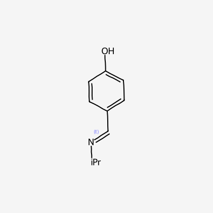 CC(C)/N=C/c1ccc(O)cc1